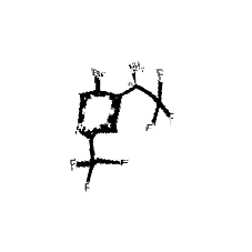 N[C@H](c1cc(C(F)(F)F)ncc1Br)C(F)(F)F